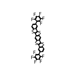 Fc1c(F)c(F)c(-c2ccc3sc4c5cc6sc7c8cc(-c9c(F)c(F)c(F)c(F)c9F)ccc8sc7c6cc5sc4c3c2)c(F)c1F